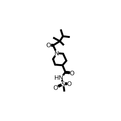 CC(C)C(C)(C)C(=O)N1CCC(C(=O)NS(C)(=O)=O)CC1